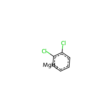 Clc1ccccc1Cl.[MgH2]